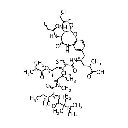 CC[C@H](C)[C@H](NC(=O)C(C)(C)N(C)C)C(=O)N(C)[C@H](C[C@@H](OC(=O)N(C)C)c1nc(C(=O)N[C@@H](Cc2ccc3c(c2)NC(=O)C(NC(=O)CCl)C(NC(=O)CCl)C(=O)O3)CC(C)C(=O)O)cs1)C(C)C